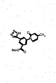 COC(=O)c1cc(-c2nnn[nH]2)cc(-n2ccc(C)cc2=O)c1